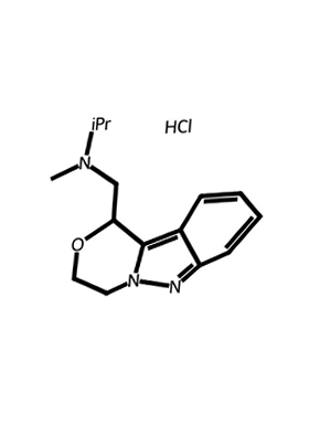 CC(C)N(C)CC1OCCn2nc3ccccc3c21.Cl